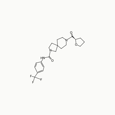 O=C(Nc1ccc(C(F)(F)F)cc1)N1CCC2(CCN(C(=O)[C@H]3CCCO3)CC2)C1